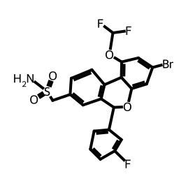 NS(=O)(=O)Cc1ccc2c(c1)C(c1cccc(F)c1)Oc1cc(Br)cc(OC(F)F)c1-2